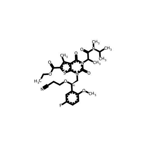 CCOC(=O)c1sc2c(c1C)c(=O)n(C(C)C(=O)N(C)C(C)C)c(=O)n2C[C@H](OCCC#N)c1cc(F)ccc1OC